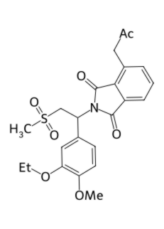 CCOc1cc(C(CS(C)(=O)=O)N2C(=O)c3cccc(CC(C)=O)c3C2=O)ccc1OC